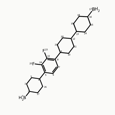 BC1CCC(c2ccc(C3CCC(C4CCC(B)CC4)CC3)c(F)c2F)CC1